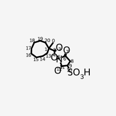 CC1(C(=O)ON2C(=O)CC(S(=O)(=O)O)C2=O)CCCCCCCC1